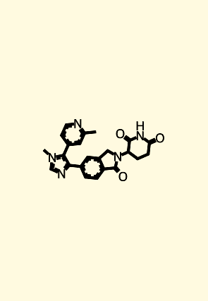 Cc1cc(-c2c(-c3ccc4c(c3)CN(C3CCC(=O)NC3=O)C4=O)ncn2C)ccn1